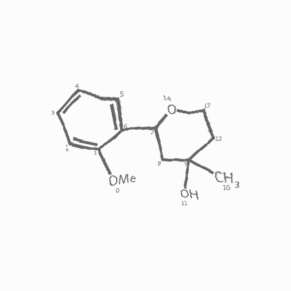 COc1ccccc1C1CC(C)(O)CCO1